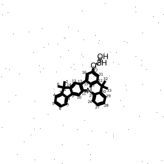 CC1(C)c2ccccc2-c2cc3c(cc21)c1cc(OBO)cc2c1n3-c1ccccc1C2(C)C